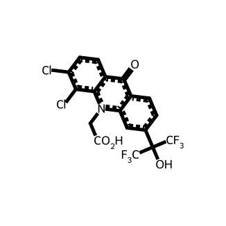 O=C(O)Cn1c2cc(C(O)(C(F)(F)F)C(F)(F)F)ccc2c(=O)c2ccc(Cl)c(Cl)c21